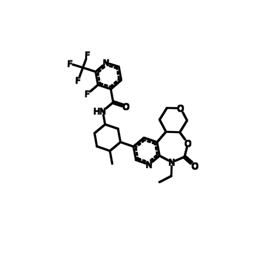 CCN1C(=O)OC2COCCC2c2cc(C3CC(NC(=O)c4ccnc(C(F)(F)F)c4F)CCC3C)cnc21